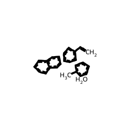 C=Cc1ccccc1.Cc1ccccc1.O.c1ccc2ccccc2c1